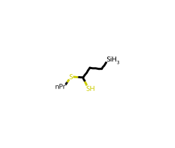 CCCSC(S)CC[SiH3]